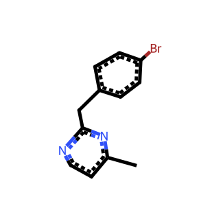 Cc1ccnc(Cc2ccc(Br)cc2)n1